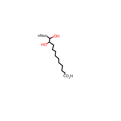 CCCCCCCCCC(O)C(O)CCCCCCCCCC(=O)O